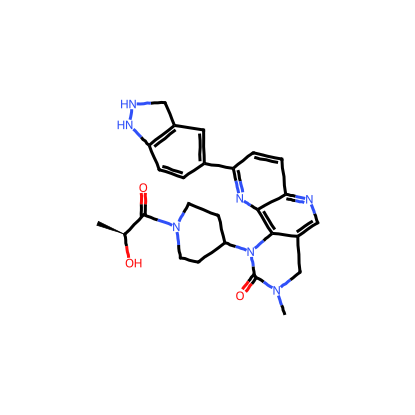 C[C@H](O)C(=O)N1CCC(N2C(=O)N(C)Cc3cnc4ccc(-c5ccc6c(c5)CNN6)nc4c32)CC1